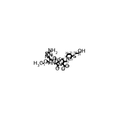 CCON=C(C(=O)NC1C(=O)N2C(C(=O)[O-])=C(C[n+]3cccc(SCCO)c3)CS[C@@H]12)c1nsc(N)n1